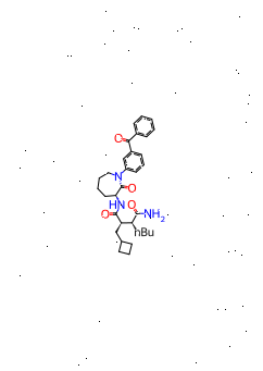 CCCC[C@H](C(N)=O)[C@@H](CC1CCC1)C(=O)N[C@H]1CCCCN(c2cccc(C(=O)c3ccccc3)c2)C1=O